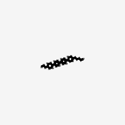 C=CCCCC1=CCC(c2ccc(-c3ccc(C4CCC(CCC)CC4)cc3)cc2)CC1